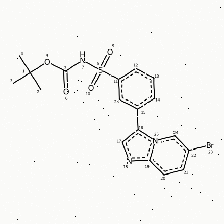 CC(C)(C)OC(=O)NS(=O)(=O)c1cccc(-c2cnc3ccc(Br)cn23)c1